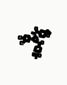 CN(C(=O)c1ccc2occc2c1)[C@@H]1CN(C(=O)N2CCN(S(C)(=O)=O)CC2)C[C@H]1c1ccc(Cl)c(Cl)c1